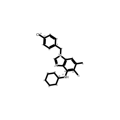 Cc1cc2c(ncn2Cc2ccc(Cl)cc2)c(NC2CCCCC2)c1C